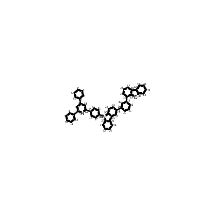 c1ccc(-c2cc(-c3ccccc3)nc(-c3ccc(-n4c5ccccc5c5cc(-c6cccc(-c7cccc8c7oc7ccccc78)c6)ccc54)cc3)c2)cc1